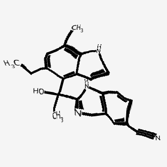 CCc1cc(C)c2[nH]ccc2c1C(C)(O)c1nc2cc(C#N)ccc2[nH]1